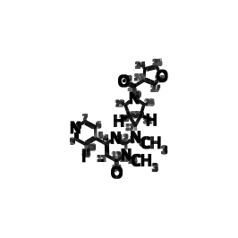 CN(c1nc(-c2ccncc2F)cc(=O)n1C)[C@@H]1[C@@H]2CN(C(=O)c3ccoc3)C[C@@H]21